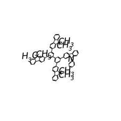 CC1(C)c2ccccc2-c2ccc(-c3cc(-c4cc(-c5ccc6c(c5)C(C)(C)c5ccccc5-6)cc(-c5ccc6c7ccccc7n(-c7ccccc7)c6c5)c4)cc(-c4ccc5c(c4)C(C)(C)c4ccccc4-5)c3)cc21